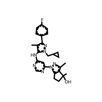 Cc1nn(-c2cc(Nc3c(C)c(-c4ccc(F)cc4)nn3CC3CC3)ncn2)c2c1C(C)(O)CC2